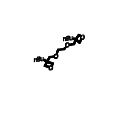 CCCCC1(COCCOCC2(CCCC)COC2)COC1